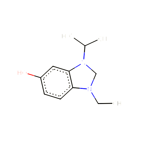 CCN1CN(C(C)C)c2cc(O)ccc21